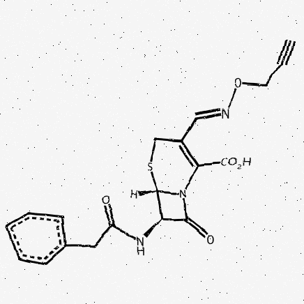 C#CCON=CC1=C(C(=O)O)N2C(=O)[C@@H](NC(=O)Cc3ccccc3)[C@@H]2SC1